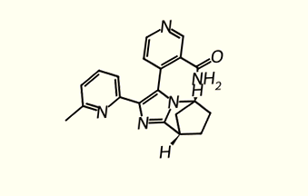 Cc1cccc(-c2nc3n(c2-c2ccncc2C(N)=O)[C@@H]2CC[C@H]3C2)n1